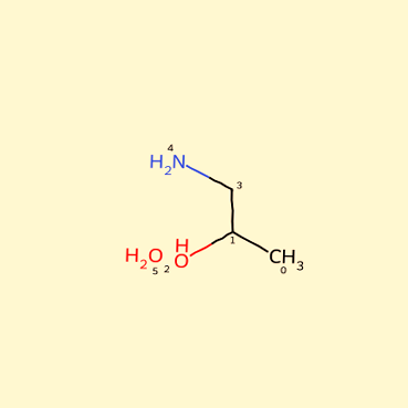 CC(O)CN.O